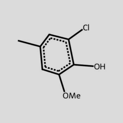 COc1cc(C)cc(Cl)c1O